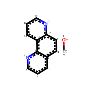 CCO.c1cnc2c(c1)ccc1ncccc12